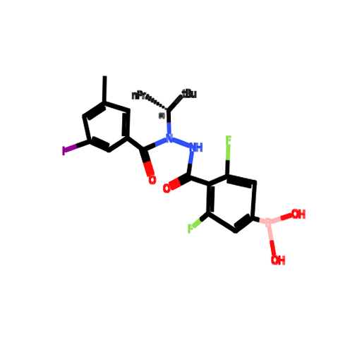 CCC[C@@H](N(NC(=O)c1c(F)cc(B(O)O)cc1F)C(=O)c1cc(C)cc(I)c1)C(C)(C)C